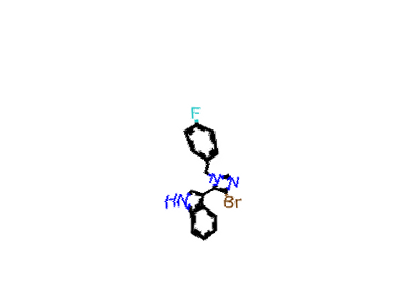 Fc1ccc(Cn2cnc(Br)c2-c2c[nH]c3ccccc23)cc1